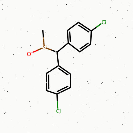 C[S+]([O-])C(c1ccc(Cl)cc1)c1ccc(Cl)cc1